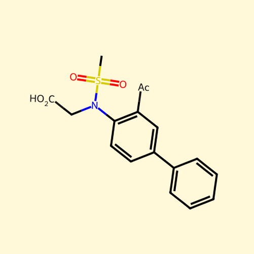 CC(=O)c1cc(-c2ccccc2)ccc1N(CC(=O)O)S(C)(=O)=O